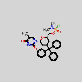 Cc1cn([C@H]2CC(C(c3ccccc3)(c3ccccc3)c3ccccc3)C[C@@H](COP(=O)(Cl)N(C)C)O2)c(=O)[nH]c1=O